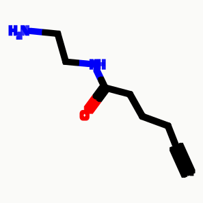 [C]#CCCCC(=O)NCCN